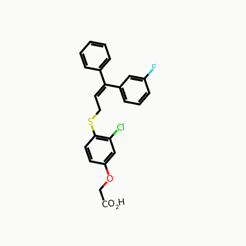 O=C(O)COc1ccc(SC/C=C(/c2ccccc2)c2cccc(F)c2)c(Cl)c1